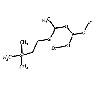 CCOP(OCC)OC(C)SCC[Si](C)(C)C